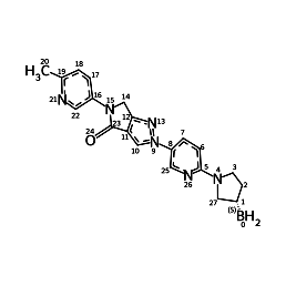 B[C@H]1CCN(c2ccc(-n3cc4c(n3)CN(c3ccc(C)nc3)C4=O)cn2)C1